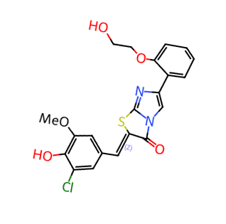 COc1cc(/C=c2\sc3nc(-c4ccccc4OCCO)cn3c2=O)cc(Cl)c1O